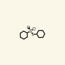 O=S(=O)(SC1CCCCC1)C1CCCCC1